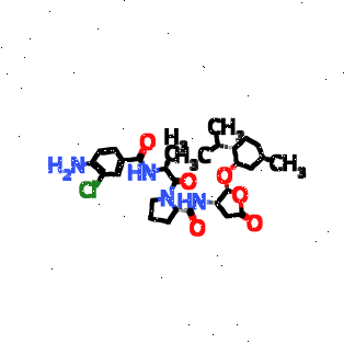 CC(C)[C@@H]1CC[C@@H](C)C[C@H]1O[C@@H]1OC(=O)C[C@@H]1NC(=O)[C@@H]1CCCN1C(=O)[C@H](C)NC(=O)c1ccc(N)c(Cl)c1